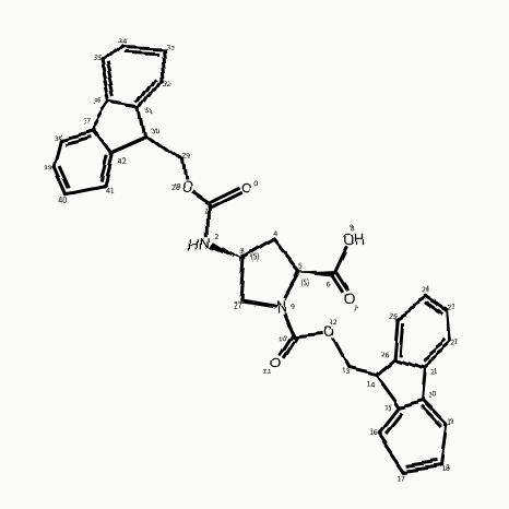 O=C(N[C@H]1C[C@@H](C(=O)O)N(C(=O)OCC2c3ccccc3-c3ccccc32)C1)OCC1c2ccccc2-c2ccccc21